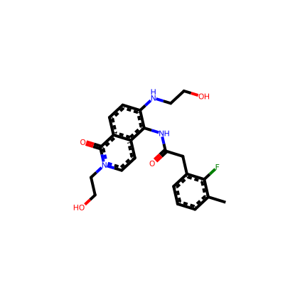 Cc1cccc(CC(=O)Nc2c(NCCO)ccc3c(=O)n(CCO)ccc23)c1F